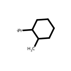 C[C](C)C1CCCCC1C